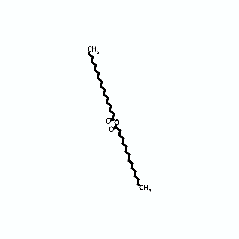 CCCCCCC=CCCCCCCCC(=O)OC(=O)CCCCCCCCCCCCCCCCC